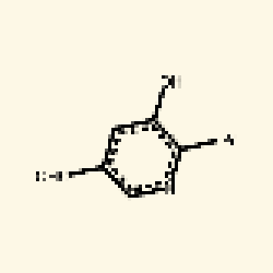 CC(C)c1ncc(C=O)cc1O